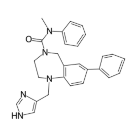 CN(C(=O)N1CCN(Cc2c[nH]cn2)c2ccc(-c3ccccc3)cc2C1)c1ccccc1